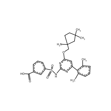 Cc1cccc(C)c1-c1cc(OCC2(N)CCC(C)(C)C2)nc(NS(=O)(=O)c2cccc(C(=O)O)c2)n1